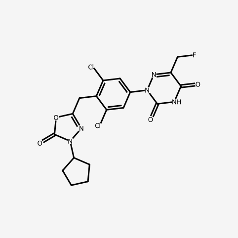 O=c1[nH]c(=O)n(-c2cc(Cl)c(Cc3nn(C4CCCC4)c(=O)o3)c(Cl)c2)nc1CF